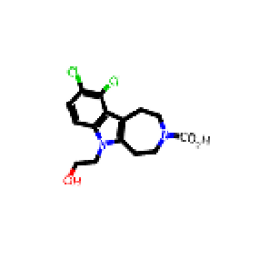 O=C(O)N1CCc2c(n(CCO)c3ccc(Cl)c(Cl)c23)CC1